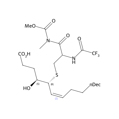 CCCCCCCCCCCC/C=C\[C@@H](SCC(NC(=O)C(F)(F)F)C(=O)N(C)C(=O)OC)[C@@H](O)CCC(=O)O